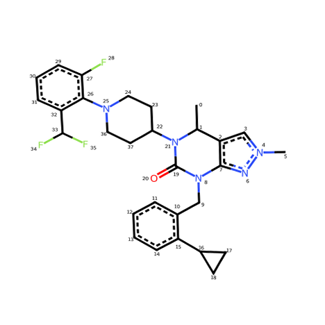 CC1c2cn(C)nc2N(Cc2ccccc2C2CC2)C(=O)N1C1CCN(c2c(F)cccc2C(F)F)CC1